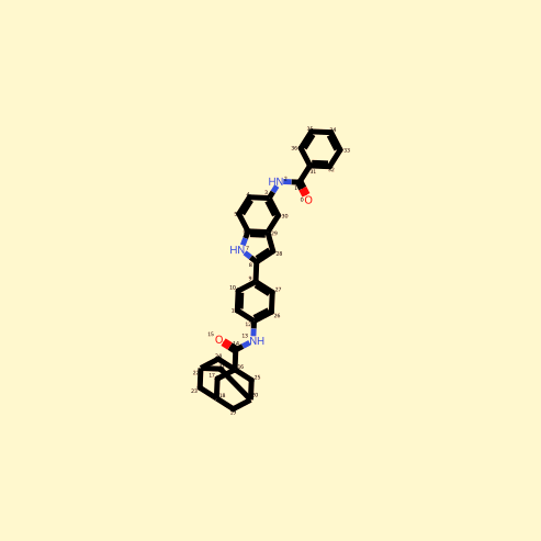 O=C(Nc1ccc2[nH]c(-c3ccc(NC(=O)C45CC6CC(CC(C6)C4)C5)cc3)cc2c1)c1ccccc1